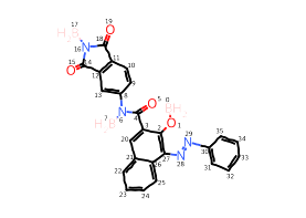 BOc1c(C(=O)N(B)c2ccc3c(c2)C(=O)N(B)C3=O)cc2ccccc2c1/N=N/c1ccccc1